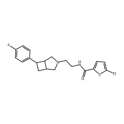 O=C(NCCN1CC2CC(c3ccc(F)cc3)C2C1)c1ccc(Cl)s1